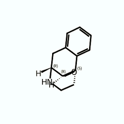 c1ccc2c(c1)C[C@H]1NCC[C@@]23COCC[C@@H]13